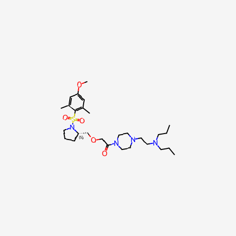 CCCN(CCC)CCN1CCN(C(=O)COC[C@@H]2CCCN2S(=O)(=O)c2c(C)cc(OC)cc2C)CC1